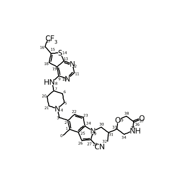 Cc1c(CN2CCC(Nc3ncnc4sc(CC(F)(F)F)cc34)CC2)ccc2c1cc(C#N)n2CC(C)C1CNC(=O)CO1